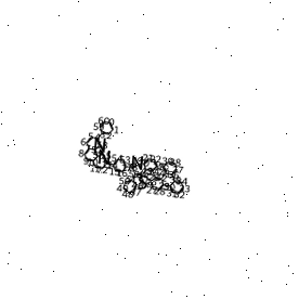 c1ccc(-c2ccc3ccc4ccc(-c5ccc(-c6nc7cccc(-c8cccc9c%10ccccc%10c%10ccccc%10c89)c7c7sc8ccccc8c67)cc5)nc4c3n2)cc1